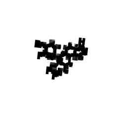 C[C@@H]1Cc2c(ccc3[nH]ncc23)[C@@H](c2ccc(Br)c(F)n2)N1CC(F)(F)F